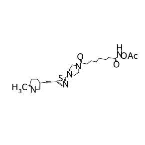 CC(=O)ONC(=O)CCCCCCC(=O)N1CCN(c2ncc(C#Cc3ccc(C)nc3)s2)CC1